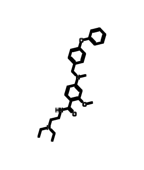 CCN(CC)CCNC(=O)c1ccc(N(C)Cc2ccc(Oc3ccccc3)cc2)cc1OC